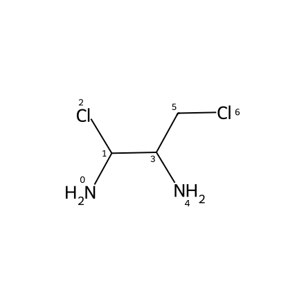 NC(Cl)C(N)CCl